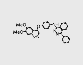 COc1cc2nncc(Oc3ccc(Nc4nnc(-c5ccccc5)c5ccccc45)cc3)c2cc1OC